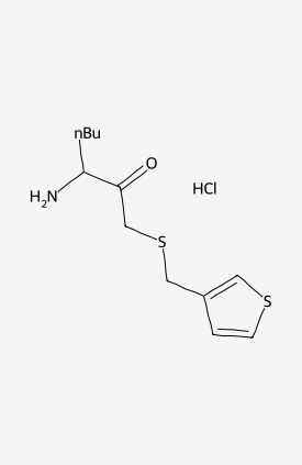 CCCCC(N)C(=O)CSCc1ccsc1.Cl